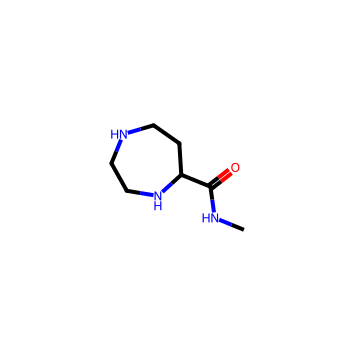 CNC(=O)C1CCNCCN1